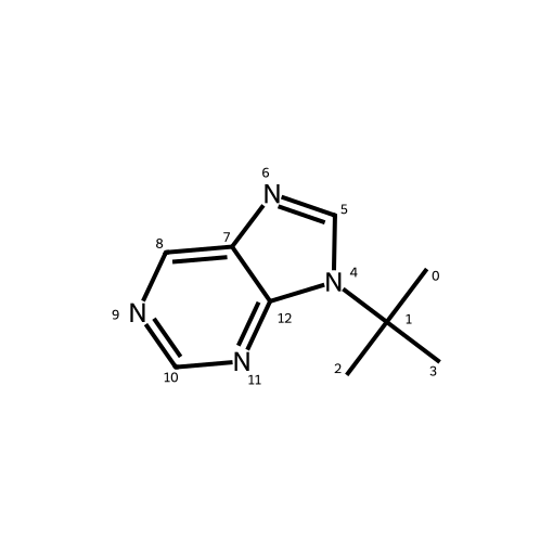 CC(C)(C)n1cnc2cncnc21